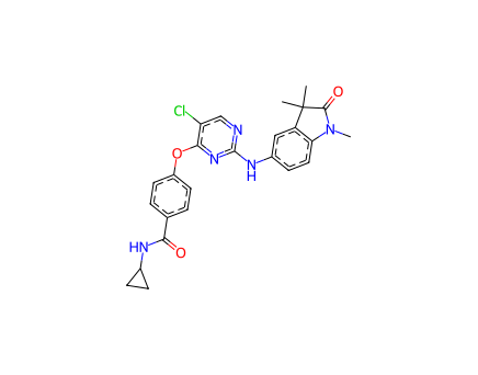 CN1C(=O)C(C)(C)c2cc(Nc3ncc(Cl)c(Oc4ccc(C(=O)NC5CC5)cc4)n3)ccc21